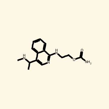 CNC(C)c1cnc(NCCOC(N)=O)c2ccccc12